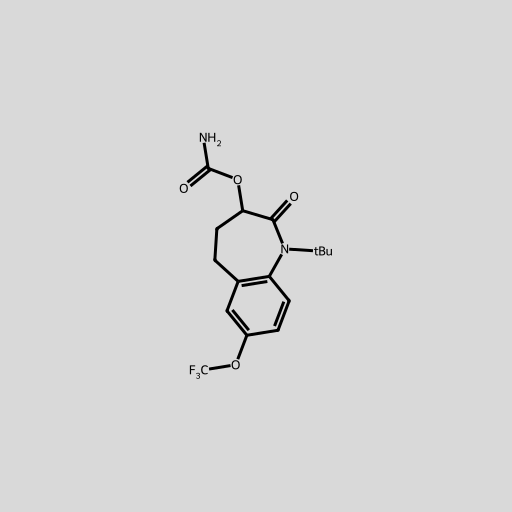 CC(C)(C)N1C(=O)C(OC(N)=O)CCc2cc(OC(F)(F)F)ccc21